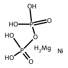 O=P(O)(O)OP(=O)(O)O.[MgH2].[Ni]